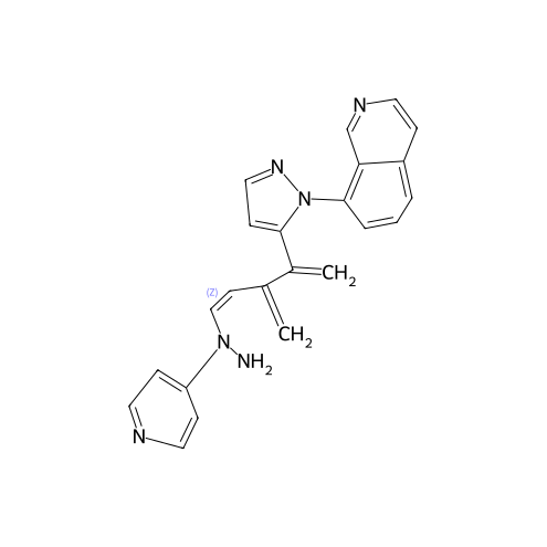 C=C(/C=C\N(N)c1ccncc1)C(=C)c1ccnn1-c1cccc2ccncc12